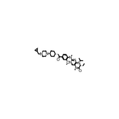 CC[C@@H]1C(=O)N(C)c2cnc(N(C)c3ccc(C(=O)C[C@H]4CC[C@H](N5CCN(CC6CC6)CC5)CC4)cc3OC)nc2N1C(C)C